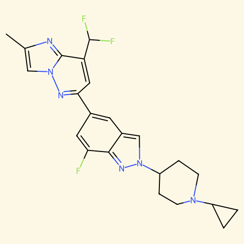 Cc1cn2nc(-c3cc(F)c4nn(C5CCN(C6CC6)CC5)cc4c3)cc(C(F)F)c2n1